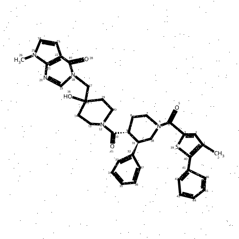 Cc1cc(C(=O)N2CC[C@@H](C(=O)N3CCC(O)(Cn4cnc5c(ccn5C)c4=O)CC3)[C@H](c3ccccc3)C2)sc1-c1ccccc1